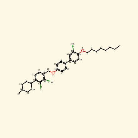 CCCCCCCCOc1ccc(-c2ccc(OCc3ccc(C4CCC(C)CC4)c(F)c3F)cc2)cc1F